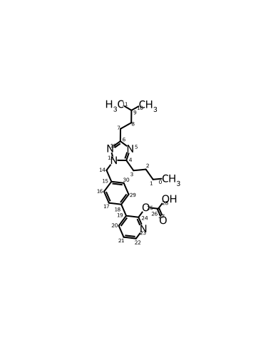 CCCCc1nc(CCC(C)C)nn1Cc1ccc(-c2cccnc2OC(=O)O)cc1